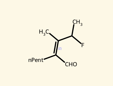 CCCCC/C(C=O)=C(\C)C(C)F